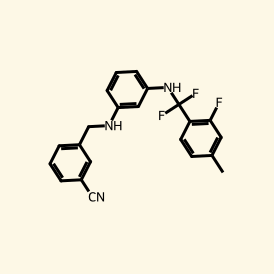 Cc1ccc(C(F)(F)Nc2cccc(NCc3cccc(C#N)c3)c2)c(F)c1